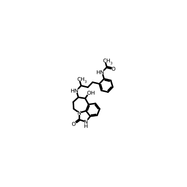 CC(=O)Nc1ccccc1CCC(C)NC1CCn2c(=O)[nH]c3cccc(c32)C1O